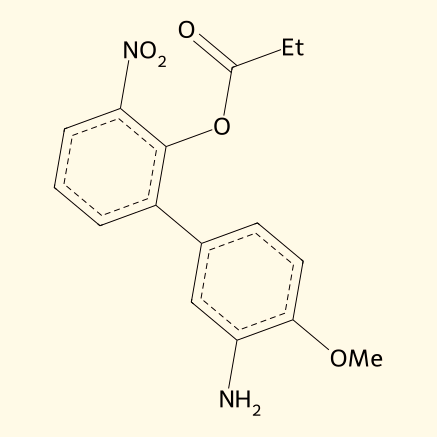 CCC(=O)Oc1c(-c2ccc(OC)c(N)c2)cccc1[N+](=O)[O-]